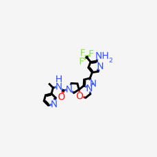 CC(NC(=O)N1CCC2(C1)OCCn1nc(-c3cnc(N)c(C(F)(F)F)c3)cc12)c1cccnc1